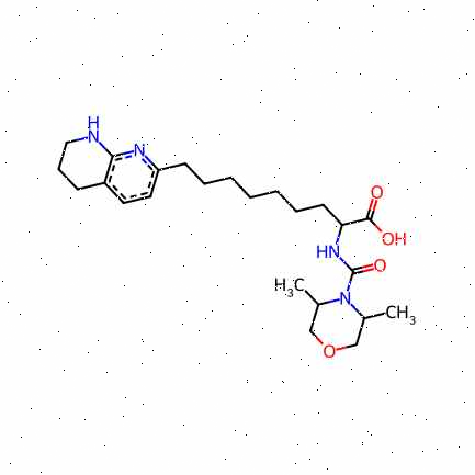 CC1COCC(C)N1C(=O)NC(CCCCCCCc1ccc2c(n1)NCCC2)C(=O)O